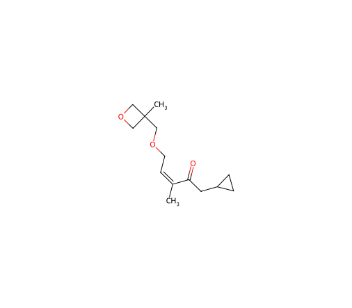 CC(=CCOCC1(C)COC1)C(=O)CC1CC1